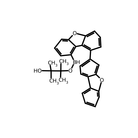 CC(C)(O)C(C)(C)OBc1cccc2oc3cccc(-c4ccc5c(c4)oc4ccccc45)c3c12